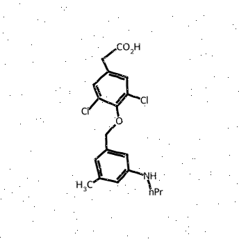 CCCNc1cc(C)cc(COc2c(Cl)cc(CC(=O)O)cc2Cl)c1